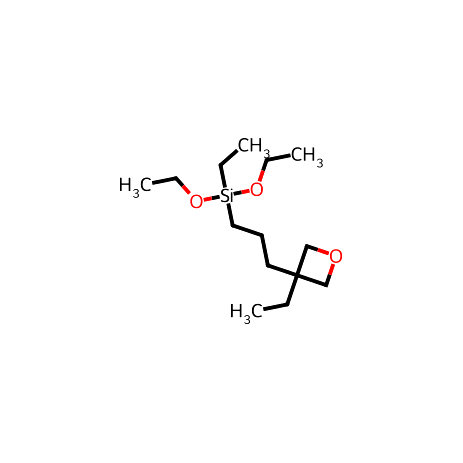 CCO[Si](CC)(CCCC1(CC)COC1)OCC